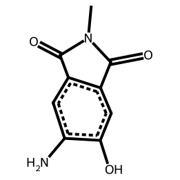 CN1C(=O)c2cc(N)c(O)cc2C1=O